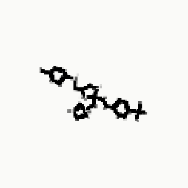 Cc1ccc(OCC2COC(CCc3ccc(C(C)(C)C)cc3)(Cn3ccnc3)O2)cc1